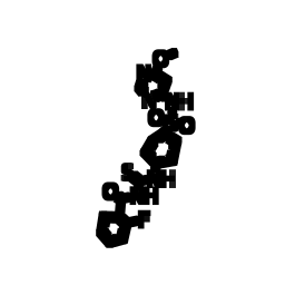 COc1cc(NS(=O)(=O)c2ccc(NC(=S)NC(=O)c3ccccc3F)cc2)ncn1